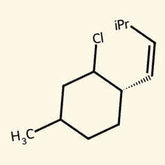 CC(C)/C=C\[C@@H]1CCC(C)CC1Cl